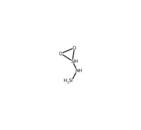 [SiH3]N[SiH]1OO1